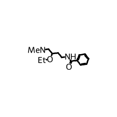 CCOC(CCNC(=O)c1ccccc1)CNC